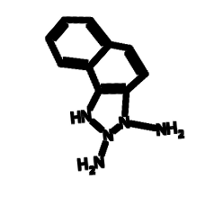 NN1Nc2c(ccc3ccccc23)N1N